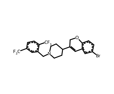 FC(F)(F)c1ccc(C(F)(F)F)c(CN2CCC(C3=Cc4cc(Br)ccc4OC3)CC2)c1